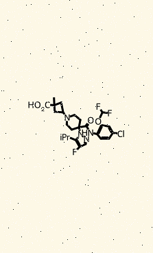 CC(C)c1c(F)cnn1C1(C(=O)Nc2ccc(Cl)cc2OC(F)F)CCN(C2CC(C)(C(=O)O)C2)CC1